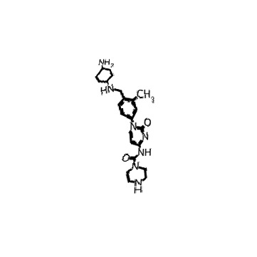 Cc1cc(-n2ccc(NC(=O)N3CCNCC3)nc2=O)ccc1CN[C@H]1CC[C@H](N)CC1